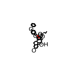 CCC[C@@H]1O[C@@H]2CC3C4CCC5=CC(=O)C=CC5(C)C4[C@@H](O)CC3(C)[C@]2(C(=O)COc2ccc(Oc3ccccc3)cc2)O1